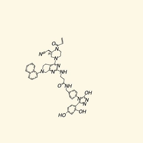 C=CC(=O)N1CCN(c2nc(NCCC(=O)NCc3ccc(-n4c(O)nnc4-c4ccc(O)cc4O)cc3)nc3c2CCN(c2cccc4ccccc24)C3)C[C@H]1CC#N